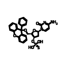 Nc1ccn([C@H]2C[C@H](OP(O)(O)=S)[C@@H](COC3(c4ccccc4)c4ccccc4Oc4ccccc43)O2)c(=O)n1